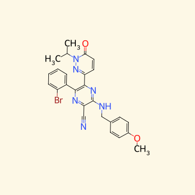 COc1ccc(CNc2nc(-c3ccc(=O)n(C(C)C)n3)c(-c3ccccc3Br)nc2C#N)cc1